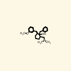 COc1cccc(C=C2CCCC(CN(C)C)C2(O)Cc2ccccc2)c1